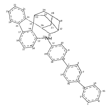 c1ccc(-c2ccc(-c3ccc(Nc4cccc5c4C4(c6ccccc6-5)C5CC6CC(C5)CC4C6)cc3)cc2)cc1